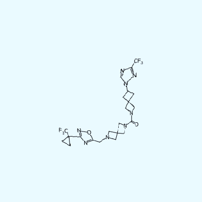 O=C(N1CC2(CC(n3cnc(C(F)(F)F)n3)C2)C1)N1CC2(CN(Cc3nc(C4(C(F)(F)F)CC4)no3)C2)C1